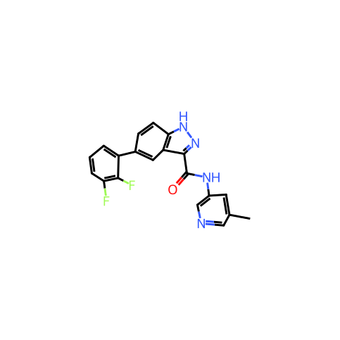 Cc1cncc(NC(=O)c2n[nH]c3ccc(-c4cccc(F)c4F)cc23)c1